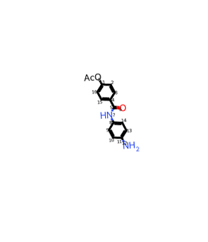 CC(=O)Oc1ccc(C(=O)Nc2ccc(N)cc2)cc1